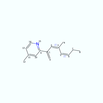 C=C(/C=C(C)\C=C/CC)c1cc(C)ccn1